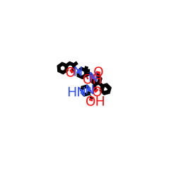 CC(CC1CCCCC1)C(=O)N1CC[C@@](O)(Cn2cc(C(=O)N3CCNC[C@H]3CO)c(-c3ccccc3)cc2=O)C(C)(C)C1